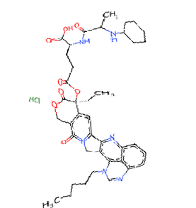 CCCCCN1C=Nc2cccc3nc4c(c1c23)Cn1c-4cc2c(c1=O)COC(=O)[C@@]2(CC)OC(=O)CC[C@H](NC(=O)C(C)NC1CCCCC1)C(=O)O.Cl